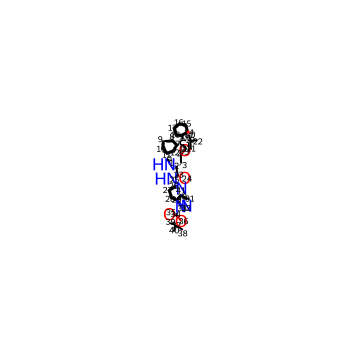 CN[C@H](CCO[Si](c1ccccc1)(c1ccccc1)C(C)(C)C)C(=O)Nc1ccc2c(cnn2C(=O)OC(C)(C)C)n1